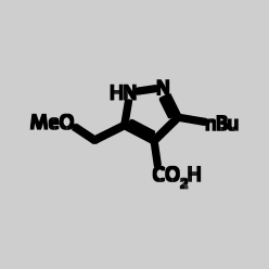 CCCCc1n[nH]c(COC)c1C(=O)O